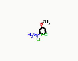 COc1cccc(N(N)Cl)c1.Cl